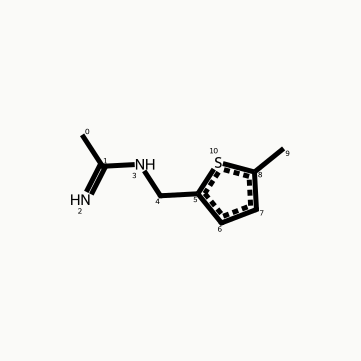 CC(=N)NCc1ccc(C)s1